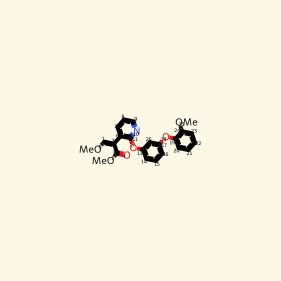 COC=C(C(=O)OC)c1cccnc1Oc1cccc(Oc2ccccc2OC)c1